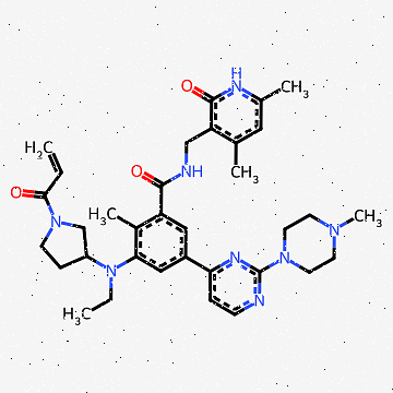 C=CC(=O)N1CCC(N(CC)c2cc(-c3ccnc(N4CCN(C)CC4)n3)cc(C(=O)NCc3c(C)cc(C)[nH]c3=O)c2C)C1